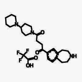 O=C(CCC(=O)N1CCC(N2CCCCC2)CC1)c1ccc2c(c1)CCNCC2.O=C(O)C(F)(F)F